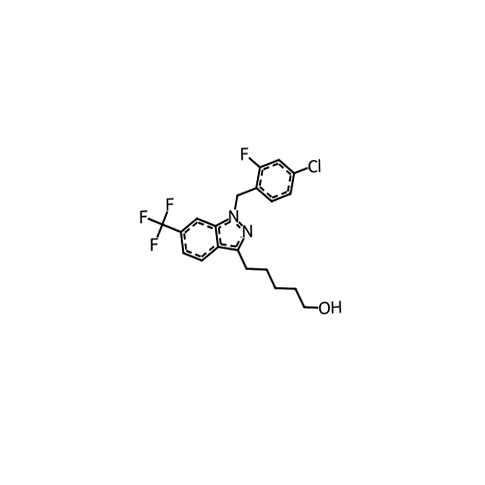 OCCCCCc1nn(Cc2ccc(Cl)cc2F)c2cc(C(F)(F)F)ccc12